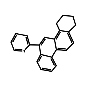 c1ccc(-c2cc3c4c(ccc3c3ccccc23)CCCC4)nc1